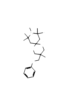 CN1C(C)(C)CC2(CC1(C)C)OCC(C)(COc1ccccc1)CO2